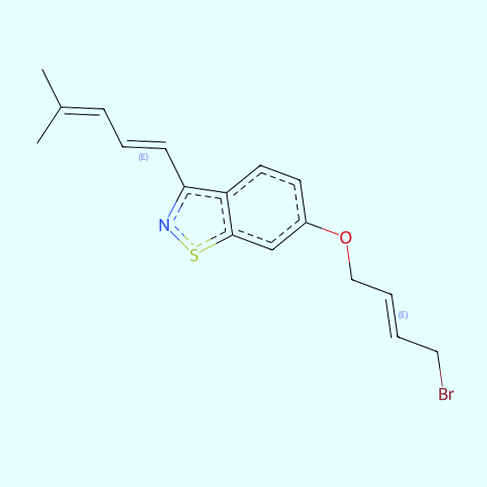 CC(C)=C/C=C/c1nsc2cc(OC/C=C/CBr)ccc12